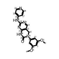 COc1cc(OC)cc(N2Cc3cnc(Nc4ccncc4)nc3NC2=O)c1